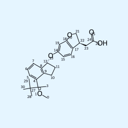 COC(C)(c1cccc2c1CC[C@H]2Oc1ccc2c(c1)OC[C@H]2CC(=O)O)C(C)(C)C